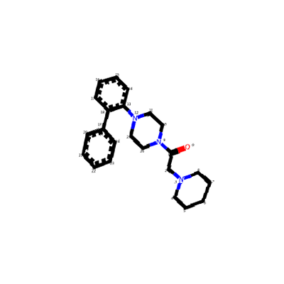 O=C(CN1CCCCC1)N1CCN(c2ccccc2-c2ccccc2)CC1